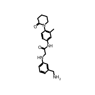 Cc1cc(NC(=O)CNc2cccc(CN)c2)ccc1N1CCCCC1=O